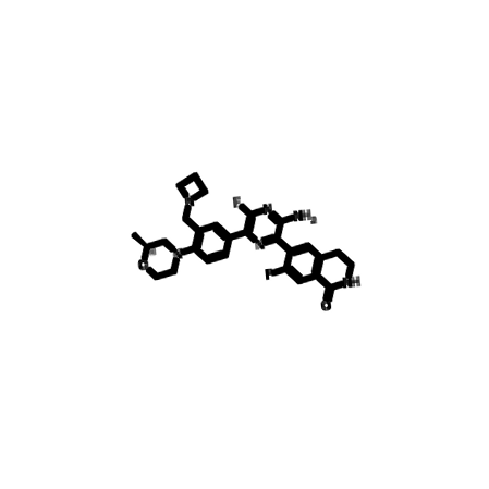 C[C@H]1CN(c2ccc(-c3nc(-c4cc5c(cc4F)C(=O)NCC5)c(N)nc3F)cc2CN2CCC2)CCO1